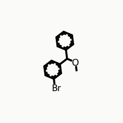 COC(c1ccccc1)c1cccc(Br)c1